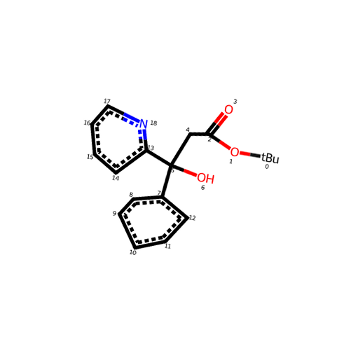 CC(C)(C)OC(=O)CC(O)(c1ccccc1)c1ccccn1